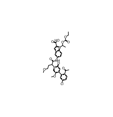 CCOC(=O)OC(C)n1c(C(=O)O)cc2cc(NC(=O)C(CCOC)n3cc(OC)c(-c4cc(Cl)ccc4C(C)=O)cc3=O)ccc21